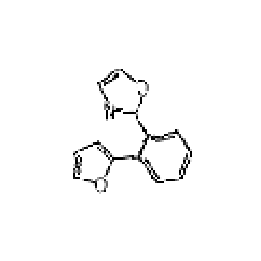 c1coc(-c2ccccc2-c2ncco2)c1